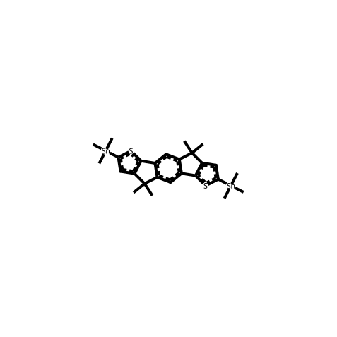 CC1(C)c2cc3c(cc2-c2s[c]([Sn]([CH3])([CH3])[CH3])cc21)C(C)(C)c1c[c]([Sn]([CH3])([CH3])[CH3])sc1-3